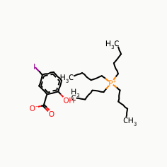 CCCC[P+](CCCC)(CCCC)CCCC.O=C([O-])c1cc(I)ccc1O